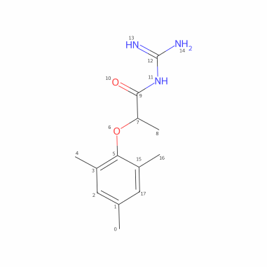 Cc1cc(C)c(OC(C)C(=O)NC(=N)N)c(C)c1